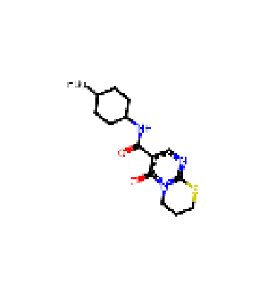 CCCCC1CCC(NC(=O)c2cnc3n(c2=O)CCCS3)CC1